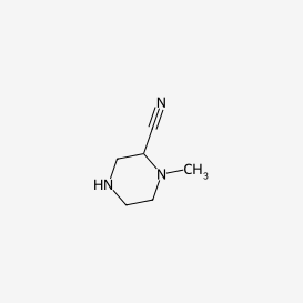 CN1CCNCC1C#N